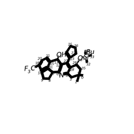 CC1(C)Cc2nc(C3CCCC3)c([C@H](O)c3ccc(C(F)(F)F)cc3)c(C3=CCCC3)c2[C@@H](O[Si](C)(C)C(C)(C)C)C1